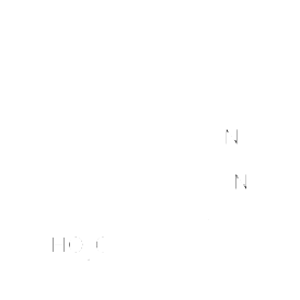 O=C(O)c1cnnc2ccccc12